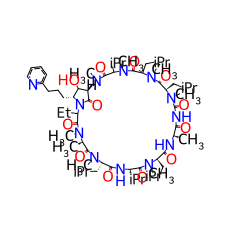 CCC1C(=O)N(C)[C@H](C)C(=O)N(C)[C@@H](CC(C)C)C(=O)N[C@H](C(C)C)C(=O)N(C)[C@H](CC(C)C)C(=O)N[C@H](C)C(=O)NC(=O)N(C)[C@H](CC(C)C)C(=O)N(C)C(CC(C)C)C(=O)N(C)C(C(C)C)C(=O)N(C)[C@@H]2C(=O)N1[C@H](CCCc1ccccn1)[C@H]2O